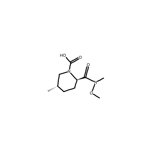 CON(C)C(=O)[C@H]1CC[C@H](C)CN1C(=O)O